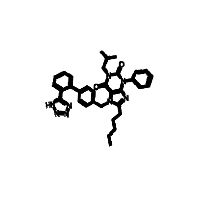 CCCCCc1nc2c(c(=O)n(CC(C)C)c(=O)n2-c2ccccc2)n1Cc1ccc(-c2ccccc2-c2nnn[nH]2)cc1